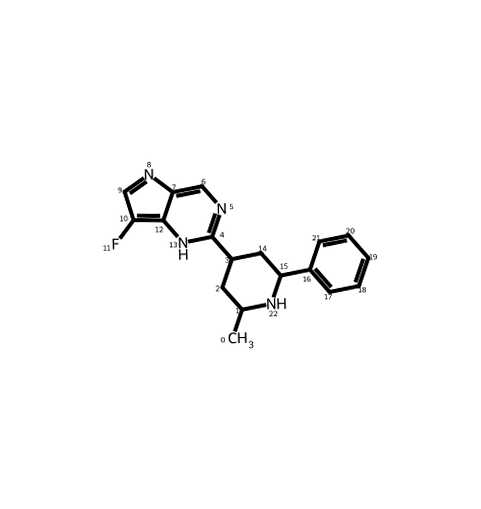 CC1CC(c2ncc3ncc(F)c-3[nH]2)CC(c2ccccc2)N1